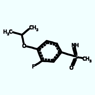 CC(C)Oc1ccc(S(C)(=N)=O)cc1F